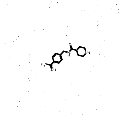 N=C(N)c1ccc(CNC(=O)C2CCNCC2)cc1